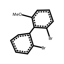 COc1cccc(Br)c1-c1ccccc1Br